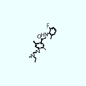 CCN(C)C=Nc1cc(C)c(C(=O)CNc2c(C)cccc2F)cc1C